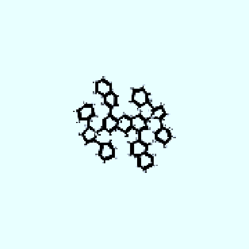 C1=Cc2ccc(-c3cc(N4C(c5ccccc5)=CCC4c4ccccc4)cc4cc5c(-c6ccc7ccccc7c6)cc(-n6c(-c7ccccc7)ccc6-c6ccccc6)cc5cc34)cc2CC1